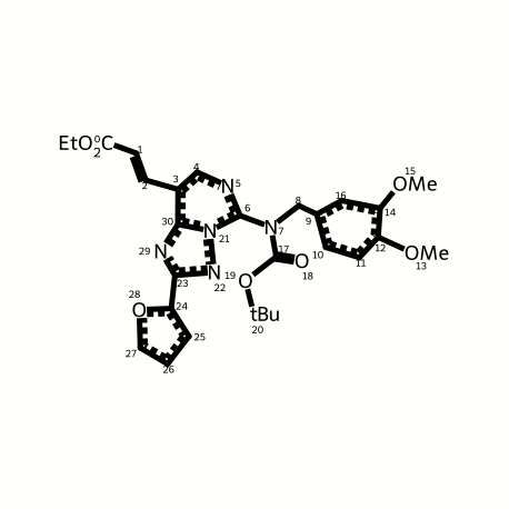 CCOC(=O)C=Cc1cnc(N(Cc2ccc(OC)c(OC)c2)C(=O)OC(C)(C)C)n2nc(-c3ccco3)nc12